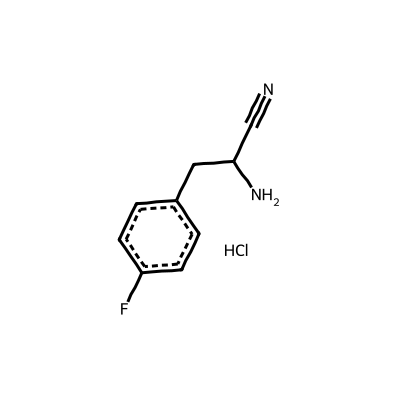 Cl.N#CC(N)Cc1ccc(F)cc1